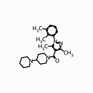 Cc1cccc(-n2nc(C)c(C(=O)N3CCC(N4CCCCC4)CC3)c2C)c1C